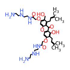 CC(C)=CCc1c(OCC(=O)NCCNCCN)cc2oc3cc(OCC(=O)NCCNCCN)c(CO)c(CC=C(C)C)c3c(=O)c2c1O